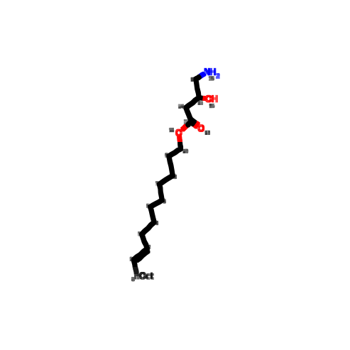 CCCCCCCCC=CCCCCCCCCOC(=O)CC(O)CN